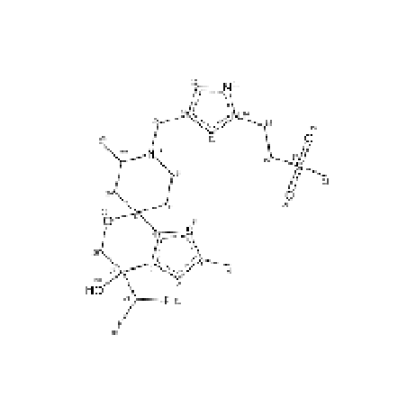 Cc1cc2c(s1)C1(CCN(Cc3cnn(CCS(C)(=O)=O)c3)C(C)C1)OCC2(O)C(F)F